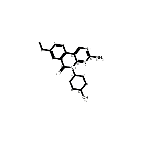 CCc1ccc2c(c1)c(=O)n(C1CCC(O)CC1)c1nc(N)ncc21